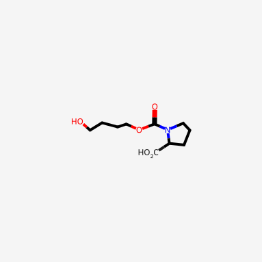 O=C(O)C1CCCN1C(=O)OCCCCO